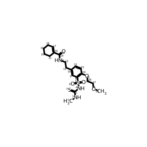 CNC(=S)NS(=O)(=O)c1cc(CCNC(=O)C2=CCCCC2)ccc1OCCOC